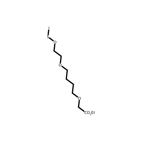 CCOC(=O)COCCCCOCCOSI